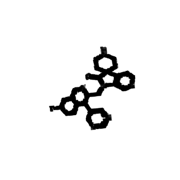 O=C1N(Cc2ncc3cc(F)ccc3c2-c2cncnc2)c2cnccc2C12CCNCC2